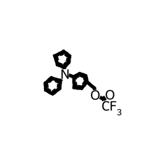 O=C(OCc1ccc(N(c2ccccc2)c2ccccc2)cc1)C(F)(F)F